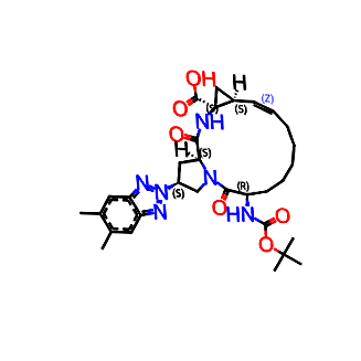 Cc1cc2nn([C@H]3C[C@H]4C(=O)N[C@@]5(C(=O)O)C[C@H]5/C=C\CCCCC[C@@H](NC(=O)OC(C)(C)C)C(=O)N4C3)nc2cc1C